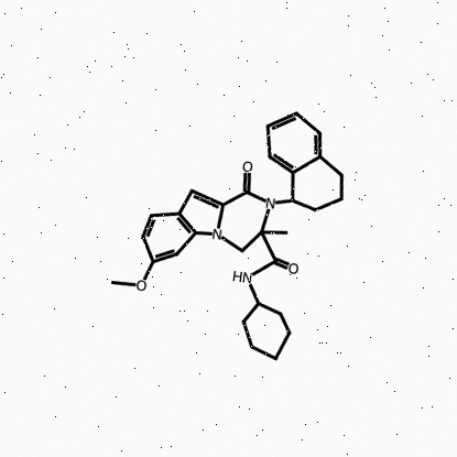 COc1ccc2cc3n(c2c1)CC(C)(C(=O)NC1CCCCC1)N(C1CCCc2ccccc21)C3=O